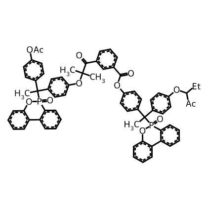 CCC(Oc1ccc(C(C)(c2ccc(OC(=O)c3cccc(C(=O)C(C)(C)Oc4ccc(C(C)(c5ccc(OC(C)=O)cc5)P5(=O)Oc6ccccc6-c6ccccc65)cc4)c3)cc2)P2(=O)Oc3ccccc3-c3ccccc32)cc1)C(C)=O